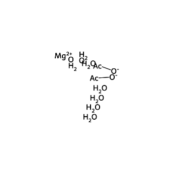 CC(=O)[O-].CC(=O)[O-].O.O.O.O.O.O.O.[Mg+2]